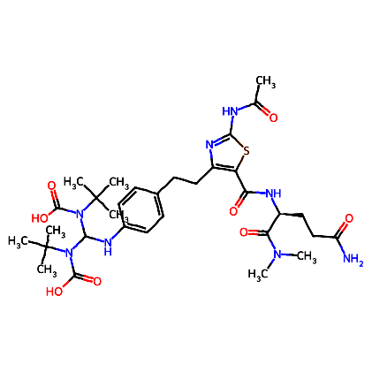 CC(=O)Nc1nc(CCc2ccc(NC(N(C(=O)O)C(C)(C)C)N(C(=O)O)C(C)(C)C)cc2)c(C(=O)N[C@@H](CCC(N)=O)C(=O)N(C)C)s1